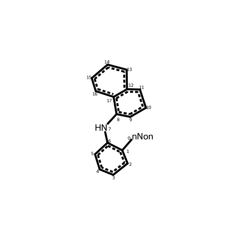 CCCCCCCCCc1ccccc1Nc1cccc2ccccc12